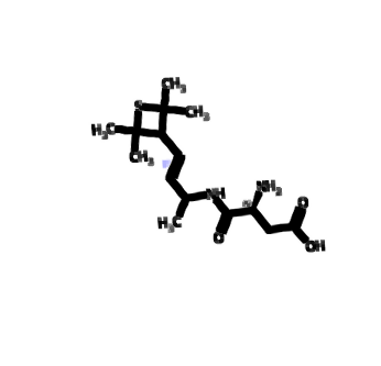 CC(/C=C/C1C(C)(C)SC1(C)C)NC(=O)[C@@H](N)CC(=O)O